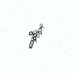 CC(=O)N1CCC(NC(=O)c2c(=O)c3cnc(N4CC5CN(C)CC5C4)nc3n3c2sc2ccccc23)CC1